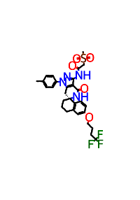 Cc1ccc(-n2nc(NC(=O)CS(C)(=O)=O)c3c2C[C@]2(CCCc4cc(OCCCC(F)(F)F)ccc42)NC3=O)cc1